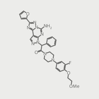 COCCOc1ccc(N2CCN(C(=O)C(c3ccccc3)n3ncc4c3nc(N)n3nc(-c5ccco5)nc43)CC2)cc1F